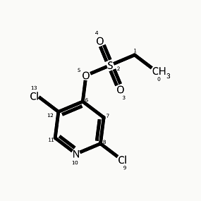 CCS(=O)(=O)Oc1cc(Cl)ncc1Cl